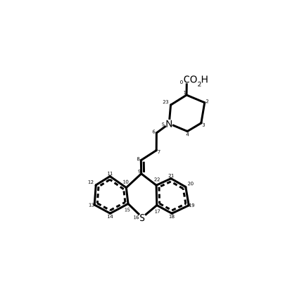 O=C(O)C1CCCN(CCC=C2c3ccccc3Sc3ccccc32)C1